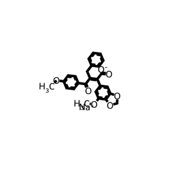 COc1ccc(C(=O)/C(Cc2ccccc2)=C(/C(=O)[O-])c2cc(OC)c3c(c2)OCO3)cc1.[Na+]